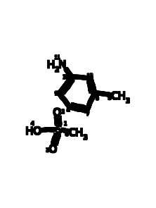 CS(=O)(=O)O.Cc1cccc(N)c1